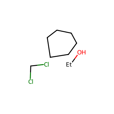 C1CCCCC1.CCO.ClCCl